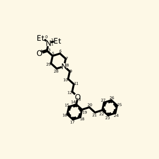 CCN(CC)C(=O)C1CCN(CCCCOc2ccccc2CCc2ccccc2)CC1